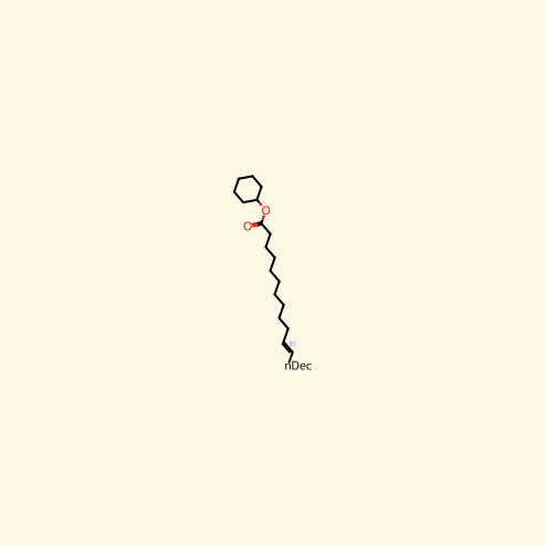 CCCCCCCCCC/C=C/CCCCCCCCCC(=O)OC1CCCCC1